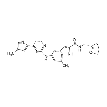 Cc1cc(Nc2nccc(-c3cn(C)cn3)n2)cc2cc(C(=O)NC[C@@H]3CCCO3)[nH]c12